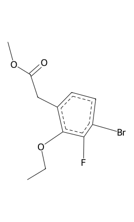 CCOc1c(CC(=O)OC)ccc(Br)c1F